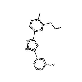 CCOc1cc(-c2cc(-c3cccc(Br)c3)[nH]n2)ccc1C